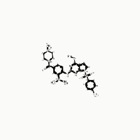 CCOc1nc(Nc2ccc(C(=O)N3CCN(C)CC3)cc2N(C)C)nc2c1ccn2S(=O)(=O)c1ccc(C)cc1